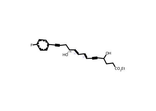 CCOC(=O)CCC(O)C#C/C=C/C=C/[C@H](O)CC#Cc1ccc(F)cc1